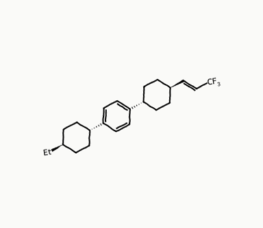 CC[C@H]1CC[C@H](c2ccc([C@H]3CC[C@H](C=CC(F)(F)F)CC3)cc2)CC1